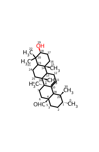 C[C@@H]1CC[C@]2(C=O)CC[C@]3(C)C(=CCC4[C@@]5(C)CC[C@H](O)C(C)(C)C5CC[C@]43C)C2[C@H]1C